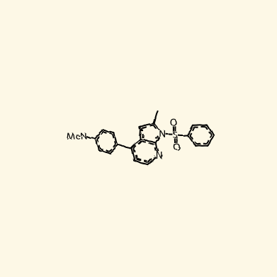 CNc1ccc(-c2ccnc3c2cc(C)n3S(=O)(=O)c2ccccc2)cc1